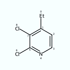 CCc1ccnc(Cl)c1Cl